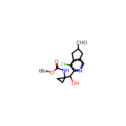 CC(C)(C)OC(=O)NC1(C(O)c2ncc3c(c2Cl)CC(C=O)C3)CC1